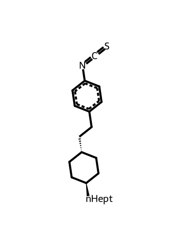 CCCCCCC[C@H]1CC[C@H](CCc2ccc(N=C=S)cc2)CC1